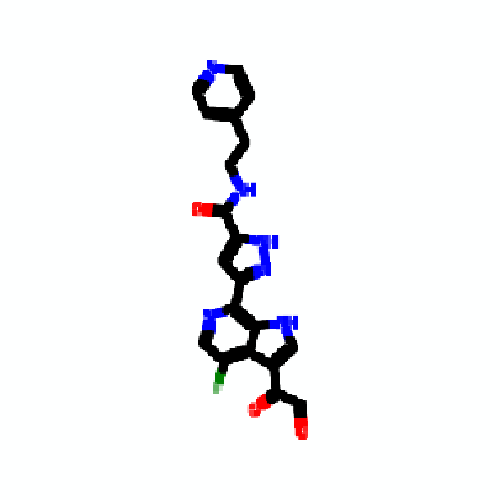 O=CC(=O)c1c[nH]c2c(-c3cc(C(=O)NCCc4ccncc4)[nH]n3)ncc(F)c12